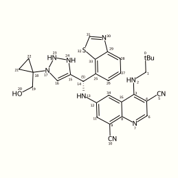 CC(C)(C)CNc1c(C#N)cnc2c(C#N)cc(N[C@H](C3=CN(C4(CO)CC4)NN3)c3cccc4ncsc34)cc12